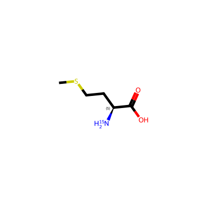 CSCC[C@H]([15NH2])C(=O)O